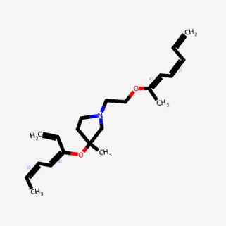 C=C/C=C\C=C(/C)OCCN1CCC(C)(O/C(C=C)=C/C=C\C)C1